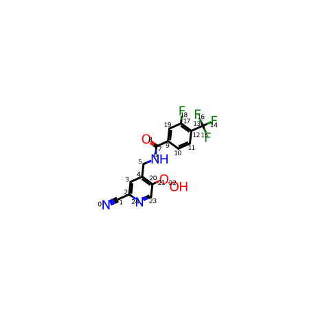 N#Cc1cc(CNC(=O)c2ccc(C(F)(F)F)c(F)c2)c(OO)cn1